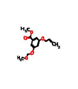 C=CCOc1cc(OCOC)cc(C(=O)OC)c1